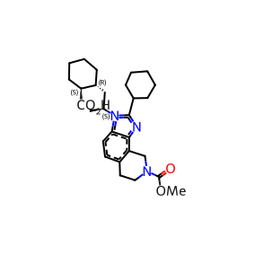 COC(=O)N1CCc2ccc3c(nc(C4CCCCC4)n3[C@@H](C)C[C@H]3CCCC[C@@H]3C(=O)O)c2C1